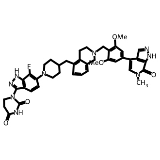 COc1cc(-c2cn(C)c(=O)c3[nH]ncc23)cc(OC)c1CN1CCc2c(CC3CCN(c4ccc5c(N6CCC(=O)NC6=O)n[nH]c5c4F)CC3)cccc2C1